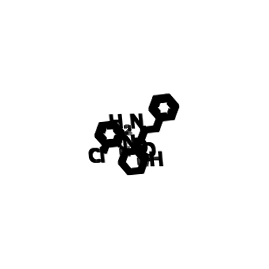 NC(Cc1ccccc1)C1=N[C@]2(c3ccccc3Cl)CCC[C@H](O1)C2=O